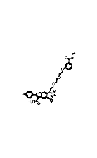 CCOC(=O)c1cccc(OCCOCCOCCN(c2cc3oc(-c4ccc(F)cc4)c(C(N)=O)c3cc2C2CC2)S(C)(=O)=O)c1